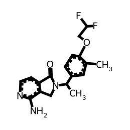 Cc1cc(C(C)N2Cc3c(ccnc3N)C2=O)ccc1OCC(F)F